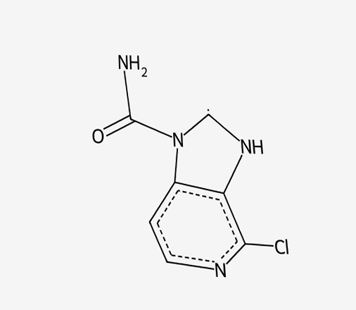 NC(=O)N1[CH]Nc2c1ccnc2Cl